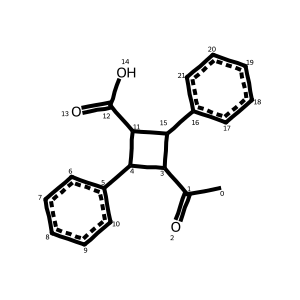 CC(=O)C1C(c2ccccc2)C(C(=O)O)C1c1ccccc1